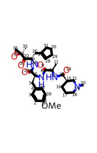 COc1ccc(C[C@H](NC(=O)[C@@H](C)NC(=O)[C@@H]2CCCN(C)C2)C(=O)N[C@@H](CC2=CCCC2)C(=O)[C@]2(C)CO2)cc1